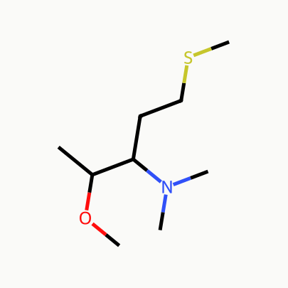 COC(C)C(CCSC)N(C)C